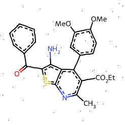 CCOC(=O)c1c(C)nc2sc(C(=O)c3ccccc3)c(N)c2c1-c1ccc(OC)c(OC)c1